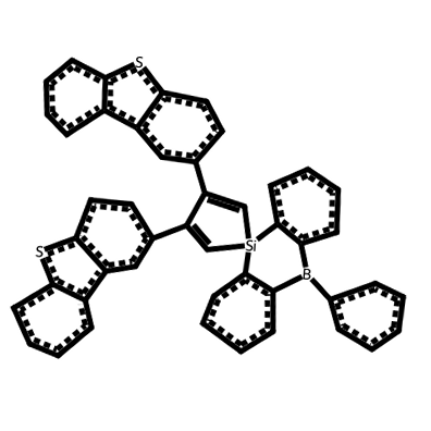 C1=C(c2ccc3sc4ccccc4c3c2)C(c2ccc3sc4ccccc4c3c2)=C[Si]12c1ccccc1B(c1ccccc1)c1ccccc12